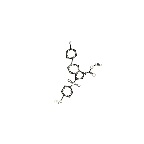 Cc1ccc(S(=O)(=O)c2cn(C(=O)OC(C)(C)C)c3cc(-c4ccc(F)cc4)ccc23)cc1